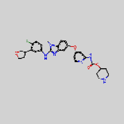 Cn1c(Nc2ccc(F)c(C3CCOC3)c2)nc2cc(Oc3ccnc(NC(=O)OC4CCNCC4)c3)ccc21